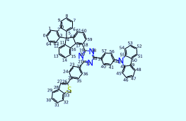 c1ccc(C2(c3ccccc3)c3ccccc3-c3c(-c4nc(-c5ccc(-c6cc7ccccc7s6)cc5)nc(-c5ccc(-n6c7ccccc7c7ccccc76)cc5)n4)cccc32)cc1